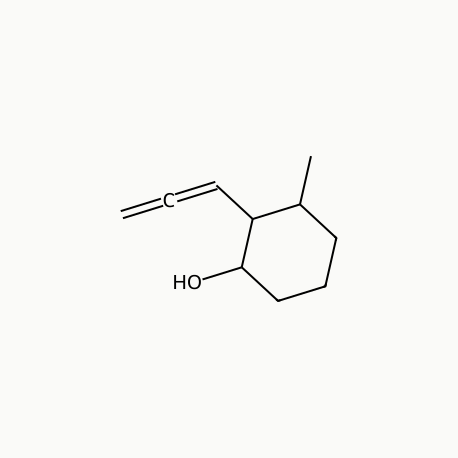 C=C=CC1C(C)CCCC1O